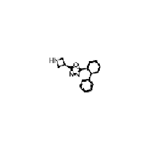 c1ccc(C2CCCCC2c2nnc(C3CNC3)o2)cc1